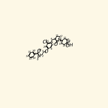 CN(CCOc1ccc(CC2CCN(C3CCC(C)(O)CC3)C2=O)c(Cl)c1)C(=O)c1ccccc1